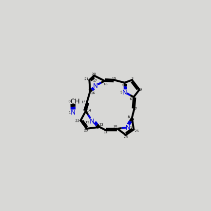 C#N.C1=CC2=NC1=CC1=NC(=CC3=NC(=CC4=NC(=C2)C=C4)C=C3)C=C1